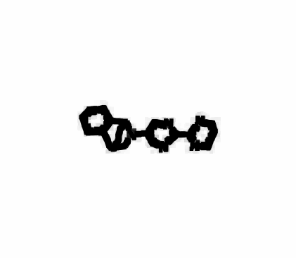 c1cnc(-c2ncc(N3CC4CCC3c3ccccc34)cn2)nc1